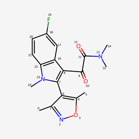 Cc1noc(C)c1-c1c(C(=O)C(=O)N(C)C)c2cc(F)ccc2n1C